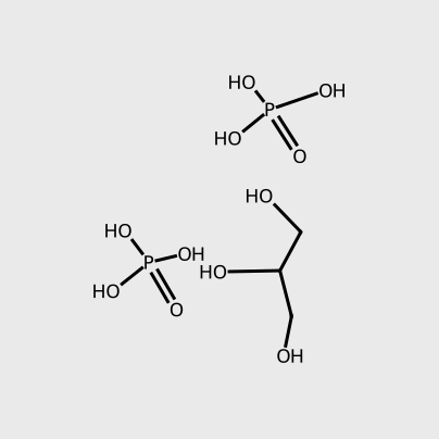 O=P(O)(O)O.O=P(O)(O)O.OCC(O)CO